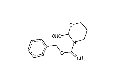 C=C(OCc1ccccc1)N1CCCOC1C=O